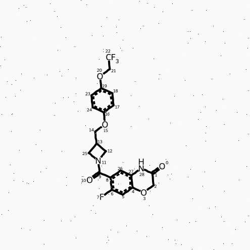 O=C1COc2cc(F)c(C(=O)N3CC(COc4ccc(OCC(F)(F)F)cc4)C3)cc2N1